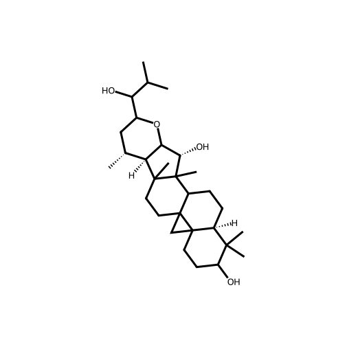 CC(C)C(O)C1C[C@@H](C)[C@H]2C(O1)[C@H](O)C1(C)C3CC[C@H]4C(C)(C)C(O)CCC45CC35CCC21C